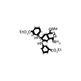 CCOC(=O)c1cccc(Nc2cc(C(N)=O)c(C(=O)OC)cc2Nc2cccc(C(=O)OCC)c2)c1